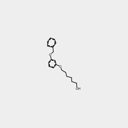 OCCCCCCOc1cccc(OCc2ccccc2)c1